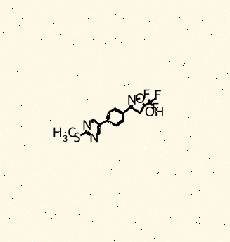 CSc1ncc(-c2ccc(C3=NOC(O)(C(F)(F)F)C3)cc2)cn1